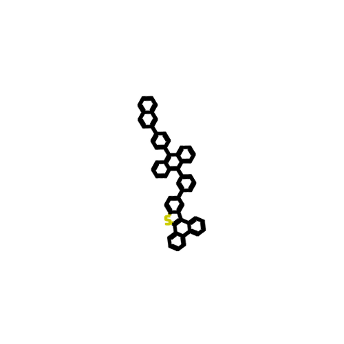 c1cc(-c2ccc3sc4c5ccccc5c5ccccc5c4c3c2)cc(-c2c3ccccc3c(-c3ccc(-c4ccc5ccccc5c4)cc3)c3ccccc23)c1